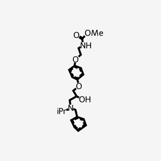 COC(=O)NCCOc1ccc(OCC(O)CN(Cc2ccccc2)C(C)C)cc1